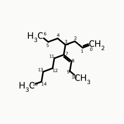 C=CC[C](CCC)C(=CCC)CCCCC